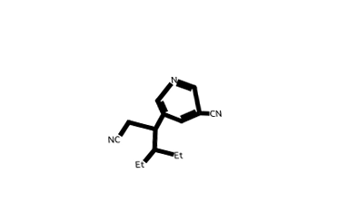 CCC(CC)C(CC#N)c1cncc(C#N)c1